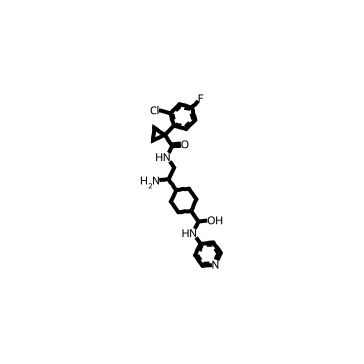 NC(CNC(=O)C1(c2ccc(F)cc2Cl)CC1)C1CCC(C(O)Nc2ccncc2)CC1